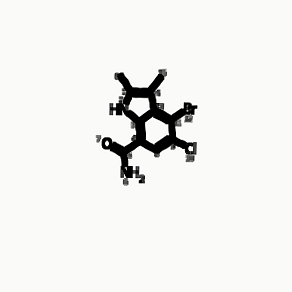 Cc1[nH]c2c(C(N)=O)cc(Cl)c(Br)c2c1C